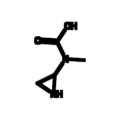 CN(C(=O)O)C1CN1